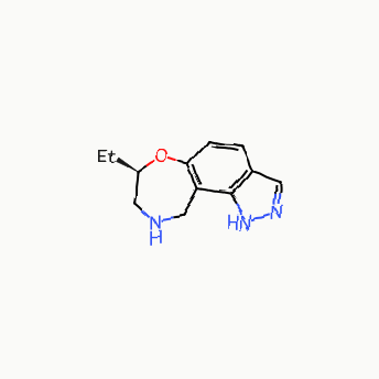 CC[C@@H]1CNCc2c(ccc3cn[nH]c23)O1